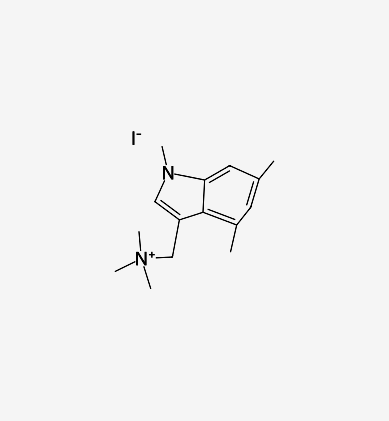 Cc1cc(C)c2c(C[N+](C)(C)C)cn(C)c2c1.[I-]